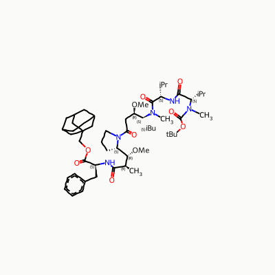 CC[C@H](C)[C@@H]([C@@H](CC(=O)N1CCC[C@H]1[C@H](OC)[C@@H](C)C(=O)N[C@@H](Cc1ccccc1)C(=O)OCC12CC3CC(CC(C3)C1)C2)OC)N(C)C(=O)[C@@H](NC(=O)[C@H](C(C)C)N(C)C(=O)OC(C)(C)C)C(C)C